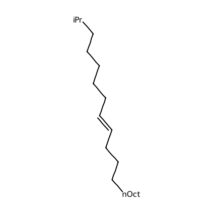 CCCCCCCCCCCC=CCCCCCC(C)C